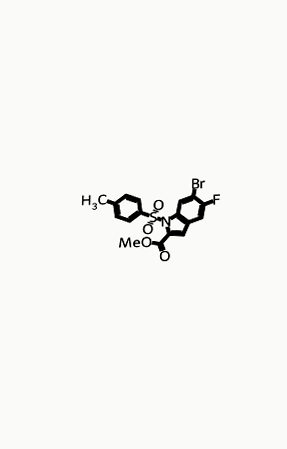 COC(=O)c1cc2cc(F)c(Br)cc2n1S(=O)(=O)c1ccc(C)cc1